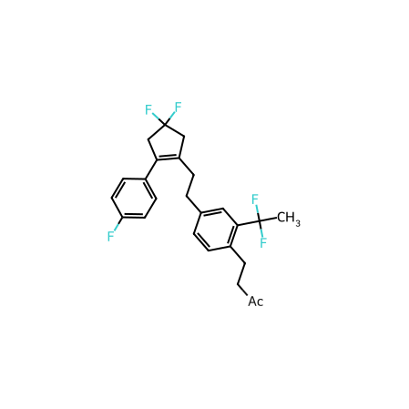 CC(=O)CCc1ccc(CCC2=C(c3ccc(F)cc3)CC(F)(F)C2)cc1C(C)(F)F